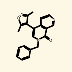 Cc1noc(C)c1-c1cn(Cc2ccccc2)c(=O)c2cnccc12